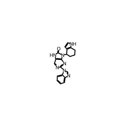 O=c1[nH]c2cnc(-n3cnc4ccccc43)nc2n1C1CCCc2[nH]ccc21